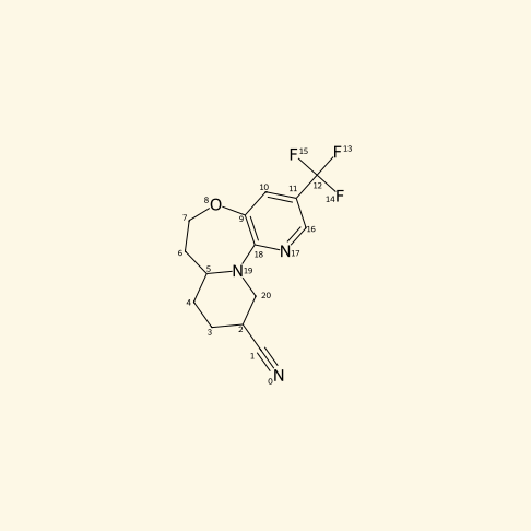 N#CC1CCC2CCOc3cc(C(F)(F)F)cnc3N2C1